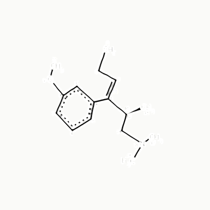 CC/C=C(\c1cccc(OC)c1)[C@@H](C)CN(C)C